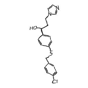 OC(CCn1ccnc1)c1ccc(SCc2ccc(Cl)cc2)cc1